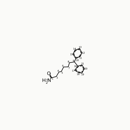 NC(=O)CCCCCCC(c1ccccc1)c1ccccc1